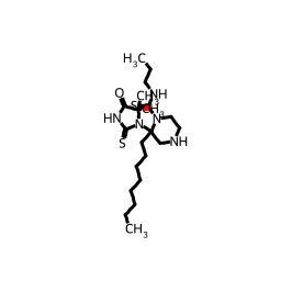 CCCCCCCCC1(N2C(=S)NC(=O)C2(C)C)CNCCN1C(=S)NCCC